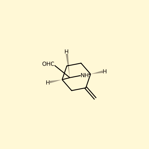 C=C1C[C@H]2CC[C@@H]1N[C@@H]2C=O